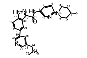 CC1CCN(c2ccc(NC(=O)c3n[nH]c4ccc(-c5cncc(CN(C)C)c5)cc34)cn2)CC1